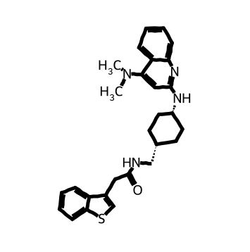 CN(C)c1cc(N[C@H]2CC[C@@H](CNC(=O)Cc3csc4ccccc34)CC2)nc2ccccc12